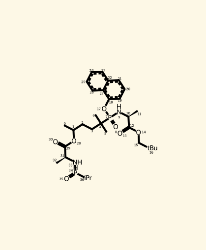 CC(CCC(C)(C)P(=O)(N[C@@H](C)C(=O)OCC(C)(C)C)Oc1cccc2ccccc12)OC(=O)[C@H](C)N[PH](=O)C(C)C